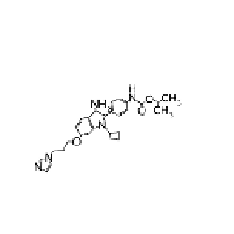 CC(C)OC(=O)Nc1ccc(C2C(N)c3ccc(OCCCn4ccnc4)cc3N2C2CCC2)cc1